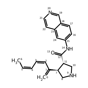 C=C(/C=C\C=C/C)[C@@H]1CNC[C@H]1C(=O)Nc1ccc2cnccc2c1